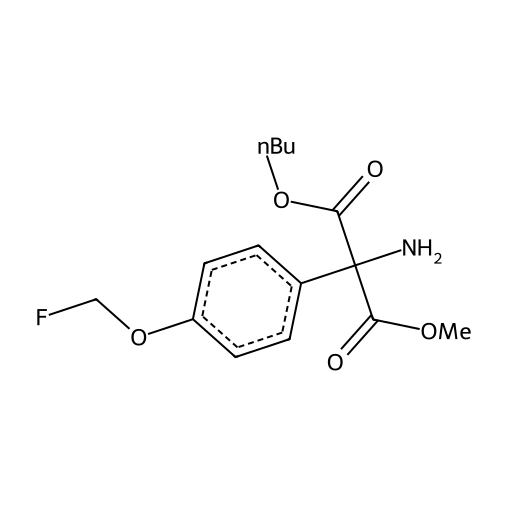 CCCCOC(=O)C(N)(C(=O)OC)c1ccc(OCF)cc1